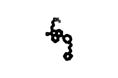 CCCCN1C(=O)c2cccc3c(N4CCCN(CCCc5ccccc5)CC4)ccc1c23